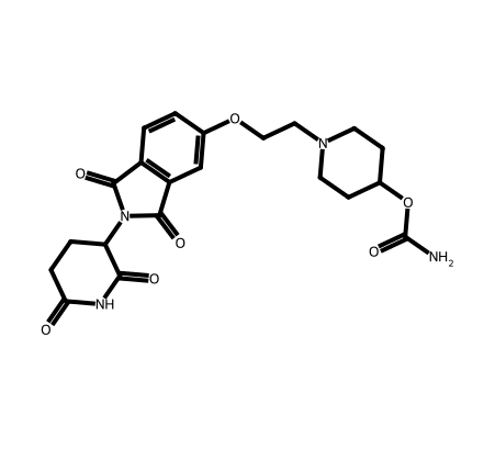 NC(=O)OC1CCN(CCOc2ccc3c(c2)C(=O)N(C2CCC(=O)NC2=O)C3=O)CC1